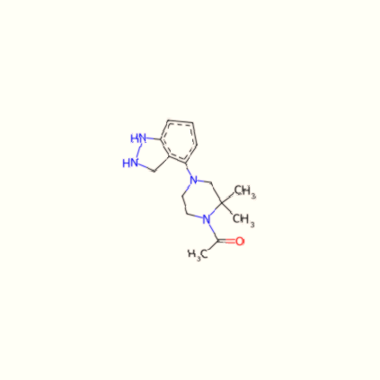 CC(=O)N1CCN(c2cccc3c2CNN3)CC1(C)C